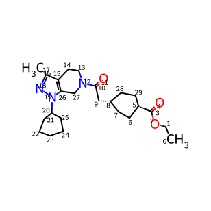 CCOC(=O)[C@H]1CC[C@H](CC(=O)N2CCc3c(C)nn(C4CCCCC4)c3C2)CC1